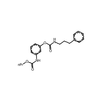 CCCOC(=O)Nc1cccc(OC(=O)NCCCc2ccccc2)c1